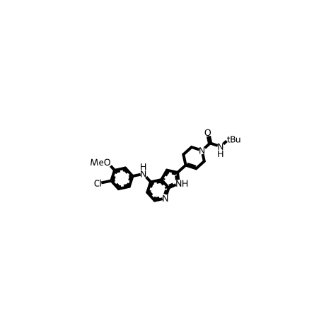 COc1cc(Nc2ccnc3[nH]c(C4=CCN(C(=O)NC(C)(C)C)CC4)cc23)ccc1Cl